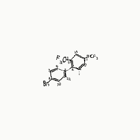 FC(F)(F)c1c[c]c(-c2ccc(Br)cc2)c(C(F)(F)F)c1